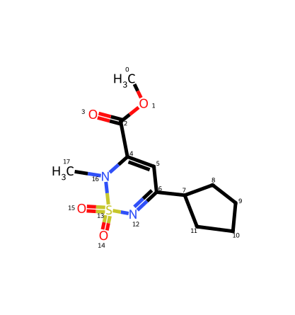 COC(=O)C1=CC(C2CCCC2)=NS(=O)(=O)N1C